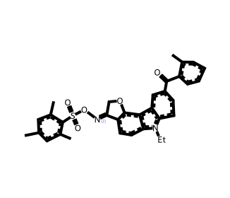 CCn1c2ccc(C(=O)c3ccccc3C)cc2c2c3c(ccc21)/C(=N/OS(=O)(=O)c1c(C)cc(C)cc1C)CO3